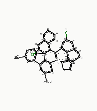 CC(C)(C)c1ccc2c(c1)-c1cc(C(C)(C)C)c[c]([Zr]([C]3=CC=CC3)=[C](c3cc(Cl)cc4ccccc34)c3cc(Cl)cc4ccccc34)c1C2